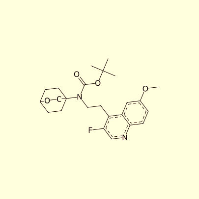 COc1ccc2ncc(F)c(CCN(C(=O)OC(C)(C)C)C34CCC(CC3)OC4)c2c1